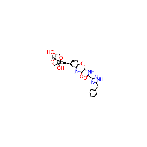 CN1C(=O)[C@@H](NC(=O)c2n[nH]c(Cc3ccccc3)n2)COc2ccc(C#C[C@@]3(O)CO[C@@H]4[C@@H](O)CO[C@@H]43)cc21